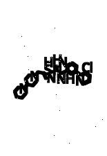 N=C(Nc1ncc(CN2CCC(N3CCCCC3)CC2)s1)c1cc(-c2ncccc2Cl)ccc1N